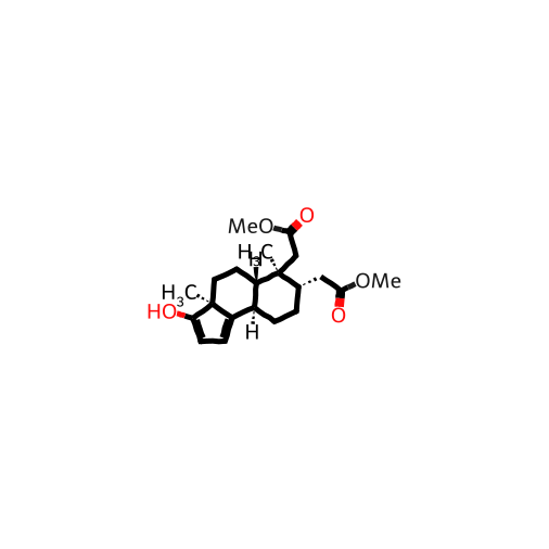 COC(=O)C[C@@H]1CC[C@H]2C3=CC=C(O)[C@@]3(C)CC[C@@H]2[C@@]1(C)CC(=O)OC